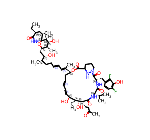 CC[C@H]1C[C@H](C)[C@@]2(NC1=O)O[C@@H](C[C@H](O)[C@@H](C)CC/C=C/C=C(\C)[C@@H]1C/C=C/C=C/[C@H](O)[C@H](C)[C@@H](O)[C@@H](CCC(C)=O)C(=O)N[C@@H](C(C)C)C(=O)N[C@@H](Cc3ccc(F)c(O)c3F)C(=O)N3CCCC(N3)C(=O)O1)[C@H](C)[C@H](O)[C@@H]2C